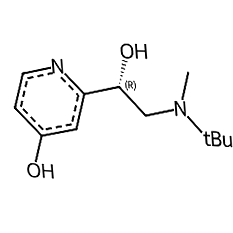 CN(C[C@@H](O)c1cc(O)ccn1)C(C)(C)C